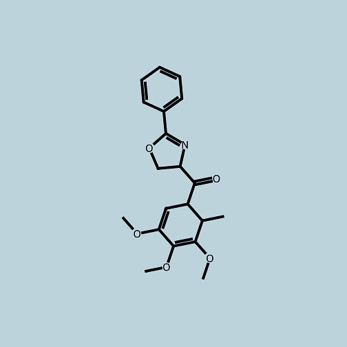 COC1=CC(C(=O)C2COC(c3ccccc3)=N2)C(C)C(OC)=C1OC